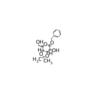 CC1(C)O[C@@H]2[C@@H](O)[C@H](OCc3ccccc3)O[C@H](CO)[C@@H]2O1